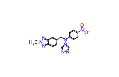 Cn1nc2ccc(CN(c3ccc([N+](=O)[O-])cc3)n3cnnc3)cc2n1